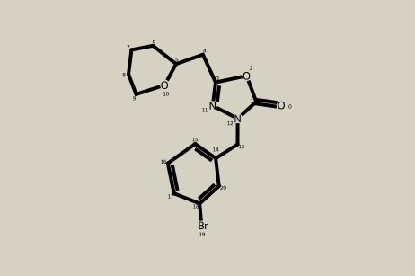 O=c1oc(CC2CCCCO2)nn1Cc1cccc(Br)c1